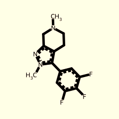 CN1CCc2c(nn(C)c2-c2cc(F)c(F)c(F)c2)C1